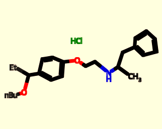 CCCCOC(CC)c1ccc(OCCNC(C)Cc2ccccc2)cc1.Cl